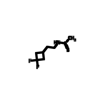 CS(=S)NCCC1CC(F)(F)C1